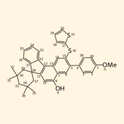 COc1ccc(-c2cc3c(O)cc4c(c3cc2Sc2cccs2)-c2ccccc2C42CC(C)(C)CC(C)(C)C2)cc1